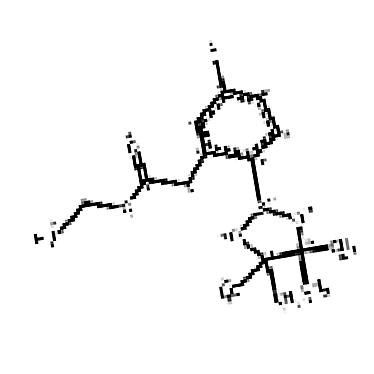 CCOC(=O)Cc1cc(F)ccc1B1OC(C)(C)C(C)(C)O1